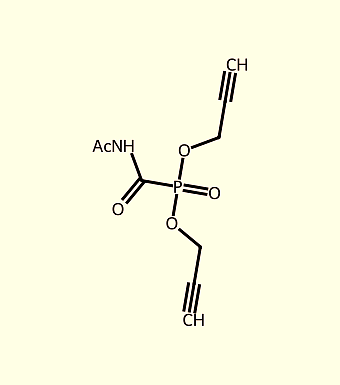 C#CCOP(=O)(OCC#C)C(=O)NC(C)=O